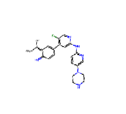 CN/C(=C1/C=C(c2cc(Nc3ccc(N4CCNCC4)cn3)ncc2F)C=CC1=N)C(C)C